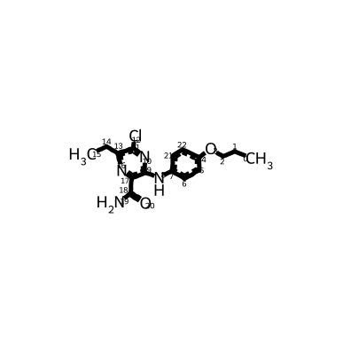 CCCOc1ccc(Nc2nc(Cl)c(CC)nc2C(N)=O)cc1